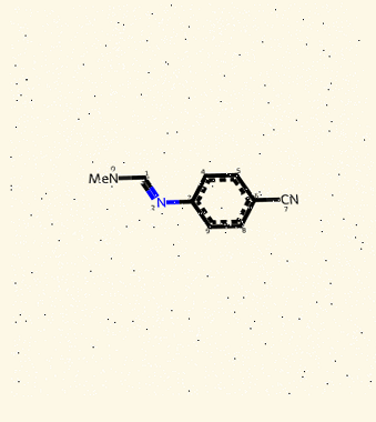 CN[C]=Nc1ccc(C#N)cc1